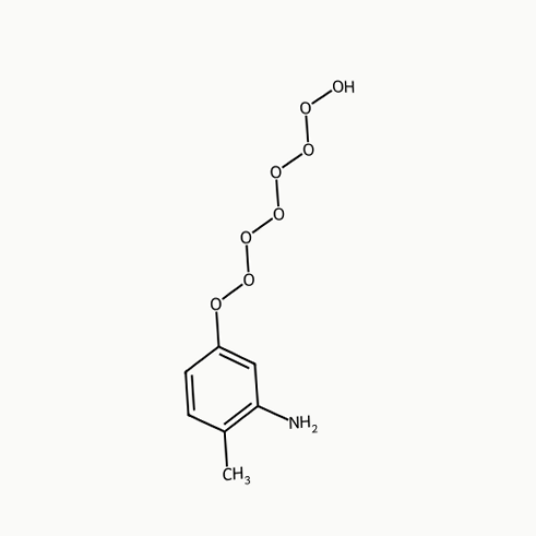 Cc1ccc(OOOOOOOO)cc1N